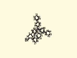 Brc1ccc2c(c1)C(c1ccccc1)(c1ccccc1)c1cc(N(c3ccc(-c4ccccc4)cc3)c3ccc(-c4ccccc4)cc3)ccc1-2